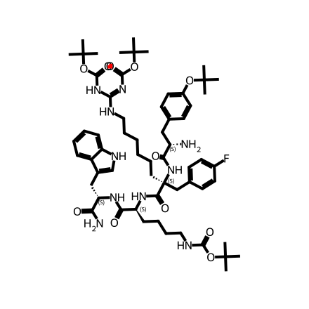 CC(C)(C)OC(=O)N=C(NCCCCCC[C@@](Cc1ccc(F)cc1)(NC(=O)[C@@H](N)Cc1ccc(OC(C)(C)C)cc1)C(=O)N[C@@H](CCCCNC(=O)OC(C)(C)C)C(=O)N[C@@H](Cc1c[nH]c2ccccc12)C(N)=O)NC(=O)OC(C)(C)C